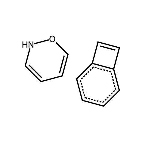 C1=CNOC=C1.C1=Cc2ccccc21